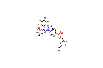 CCCCC(CC)COC(=O)c1ccc2c(c1)CCN2/C=C(/C(=O)C(C)(C)C)c1ccc(Br)cc1